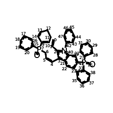 C=Cc1c(/C=C\CP(=O)(C2=CCCC=C2)c2ccccc2)c2ccc(P(=O)(c3ccccc3)c3ccccc3)cc2n1-c1ccccc1